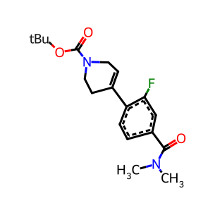 CN(C)C(=O)c1ccc(C2=CCN(C(=O)OC(C)(C)C)CC2)c(F)c1